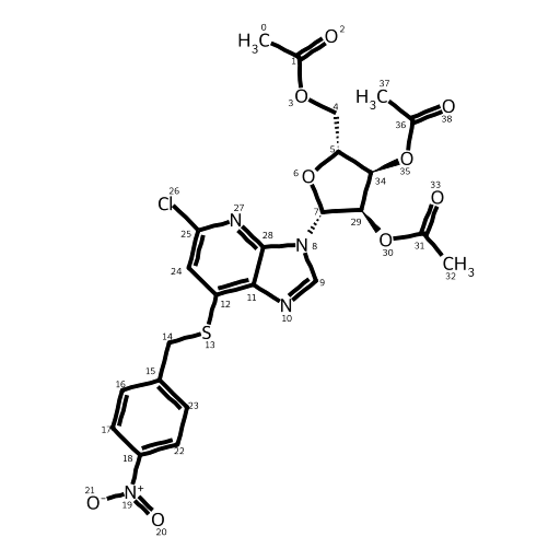 CC(=O)OC[C@H]1O[C@@H](n2cnc3c(SCc4ccc([N+](=O)[O-])cc4)cc(Cl)nc32)[C@H](OC(C)=O)[C@@H]1OC(C)=O